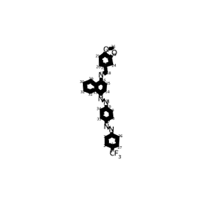 FC(F)(F)c1ccc(/N=N/c2ccc(/N=N/c3ccc(/N=C/c4ccc5c(c4)OCO5)c4ccccc34)cc2)cc1